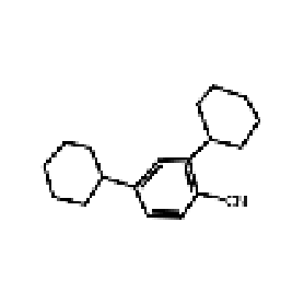 N#Cc1ccc(C2CCCCC2)cc1C1CCCCC1